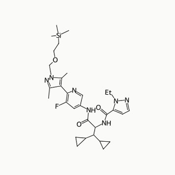 CCn1nccc1C(=O)NC(C(=O)Nc1cnc(-c2c(C)nn(COCC[Si](C)(C)C)c2C)c(F)c1)C(C1CC1)C1CC1